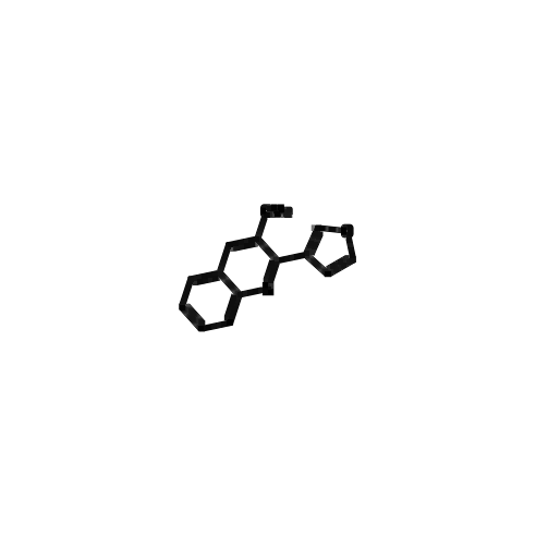 COc1cc2ccccc2nc1-c1[c]occ1